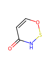 O=C1C=COSN1